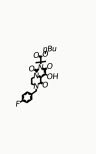 CCCCOC(=O)C(C)(C)n1c(=O)c(O)c2n(c1=O)CCN(Cc1ccc(F)cc1)C2=O